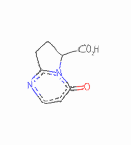 O=C(O)C1CCc2nccc(=O)n21